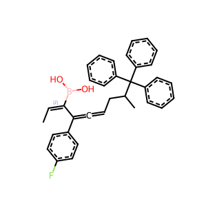 C/C=C(/B(O)O)C(=C=CCC(C)C(c1ccccc1)(c1ccccc1)c1ccccc1)c1ccc(F)cc1